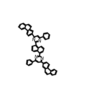 c1ccc(-c2cc(-c3ccc4c(ccc5ccccc54)c3)nc(-c3cccc4c(-c5nc(-c6ccccc6)cc(-c6ccc7c(ccc8ccccc87)c6)n5)cccc34)n2)cc1